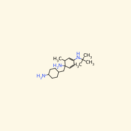 CC1C=C(NC(C)(C)C)C=CC1(N)CC1CCC(N)CC1